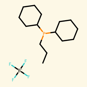 CCCP(C1CCCCC1)C1CCCCC1.F[B-](F)(F)F